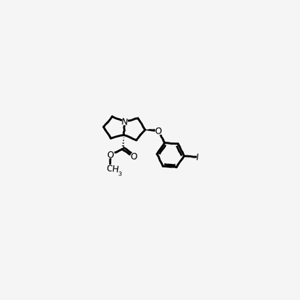 COC(=O)[C@]12CCCN1C[C@@H](Oc1cccc(I)c1)C2